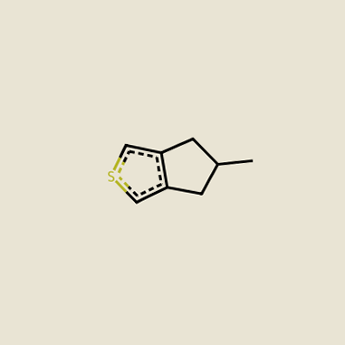 CC1Cc2cscc2C1